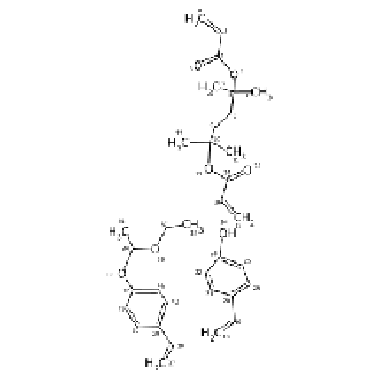 C=CC(=O)OC(C)(C)CCC(C)(C)OC(=O)C=C.C=Cc1ccc(O)cc1.C=Cc1ccc(OC(C)OCC)cc1